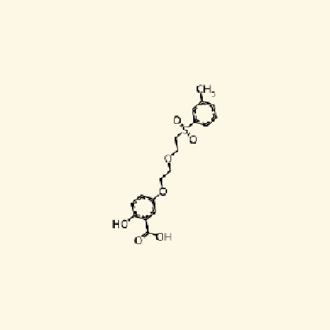 Cc1cccc(S(=O)(=O)CCOCCOc2ccc(O)c(C(=O)O)c2)c1